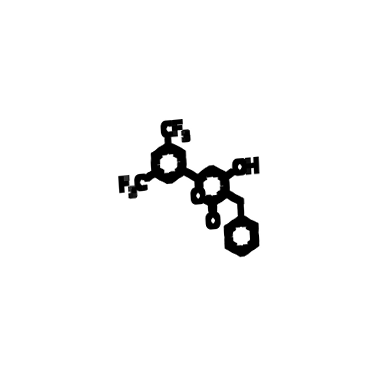 O=c1oc(-c2cc(C(F)(F)F)cc(C(F)(F)F)c2)cc(O)c1Cc1ccccc1